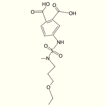 CCOCCCN(C)S(=O)(=O)Nc1ccc(C(=O)O)c(C(=O)O)c1